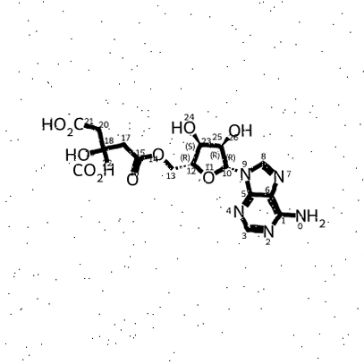 Nc1ncnc2c1ncn2[C@@H]1O[C@H](COC(=O)CC(O)(CC(=O)O)C(=O)O)[C@@H](O)[C@H]1O